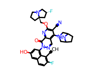 C#Cc1c(F)ccc2cc(O)cc(-n3ncc4c(N5CC6CCC(C5)N6)c(C#N)c(OC[C@@]56CCCN5C[C@H](F)C6)nc4c3=O)c12